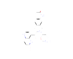 COc1ccc2nccc([C@@H](O)CN(Cc3cc4c(cc3F)SCC(=O)N4)C3CCNCC3)c2n1